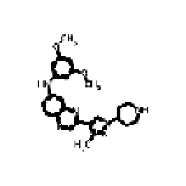 COc1cc(Nc2ccc3ncc(-c4cn(C5CCNCC5)nc4C)nc3c2)cc(OC)c1